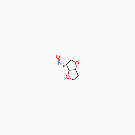 O=N[C@@H]1COC2CCOC21